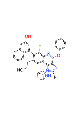 CCc1nc2c(Oc3ccccc3)nc3c(F)c(-c4cc(O)cc5ccccc45)c(CCC#N)cc3c2n1C1C2CNC1C2